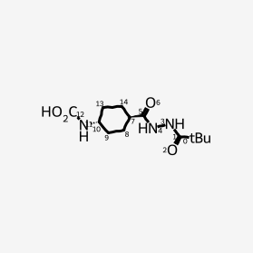 CC(C)(C)C(=O)NNC(=O)[C@H]1CC[C@H](NC(=O)O)CC1